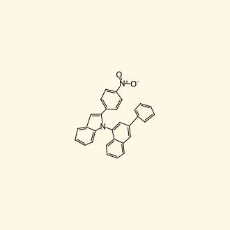 O=[N+]([O-])c1ccc(-c2cc3ccccc3n2-c2cc(-c3ccccc3)cc3ccccc23)cc1